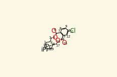 CC(C)CCCOC(=O)c1ccc(Cl)cc1C(=O)OCCCC(C)C